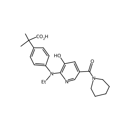 CCN(c1ccc(C(C)(C)C(=O)O)cc1)c1ncc(C(=O)N2CCCCC2)cc1O